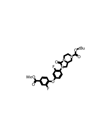 COC(=O)c1ccc(Oc2ccc(N3CC4CN(C(=O)OC(C)(C)C)CCN4C3=O)c(F)c2)c(F)c1